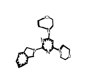 c1ccc2c(c1)CN(c1nc(N3CCOCC3)cc(N3CCOCC3)n1)C2